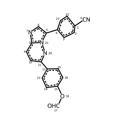 N#Cc1ccc(-c2cnc3ccc(-c4ccc(OC=O)cc4)nn23)cc1